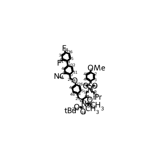 COc1ccc(S(=O)(=O)N(CC(C)C)C[C@H]2OC(C)(C)N(C(=O)OC(C)(C)C)[C@H]2Cc2ccc(OCc3ccc(-c4ccc(F)cc4F)cc3C#N)cc2)cc1